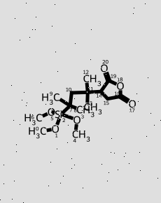 CO[Si](OC)(OC)C(C)(C)CC(C)(C)C1CC(=O)OC1=O